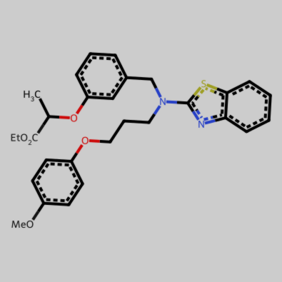 CCOC(=O)C(C)Oc1cccc(CN(CCCOc2ccc(OC)cc2)c2nc3ccccc3s2)c1